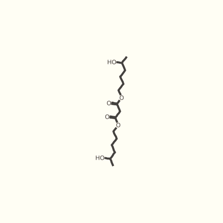 CC(O)CCCCOC(=O)CC(=O)OCCCCC(C)O